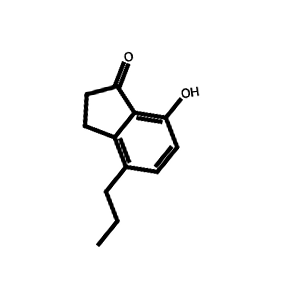 CCCc1ccc(O)c2c1CCC2=O